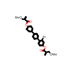 C=C(COC)C(=O)Oc1ccc(-c2ccc(-c3ccc(OC(=O)C(=C)COC)cc3CC)cc2)cc1